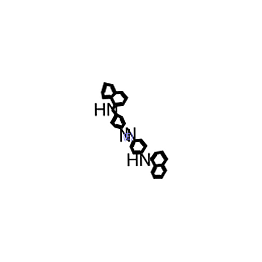 c1ccc2c(Nc3ccc(/N=N/c4ccc(Nc5cccc6ccccc56)cc4)cc3)cccc2c1